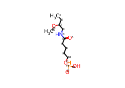 CCC(CNC(=O)CCCCO[PH](=O)O)OC